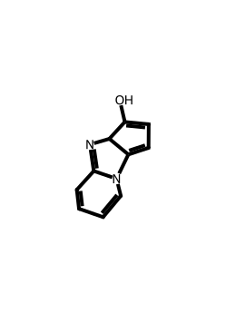 OC1=CC=C2C1N=C1C=CC=CN21